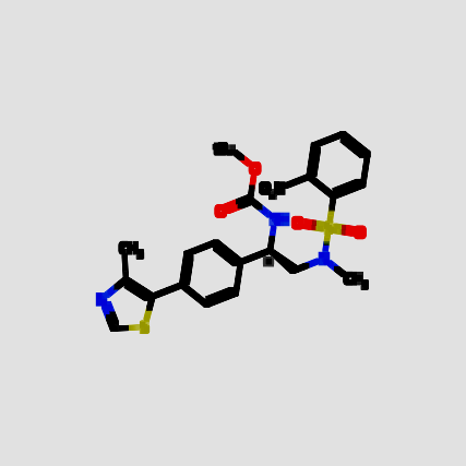 Cc1ncsc1-c1ccc([C@H](CN(C)S(=O)(=O)c2ccccc2[N+](=O)[O-])NC(=O)OC(C)(C)C)cc1